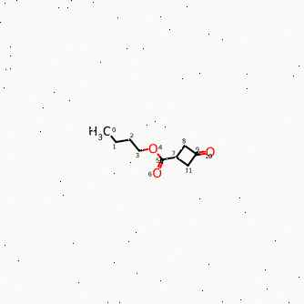 CCCCOC(=O)C1CC(=O)C1